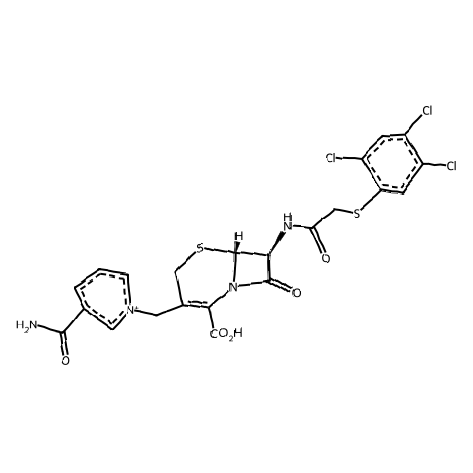 NC(=O)c1ccc[n+](CC2=C(C(=O)O)N3C(=O)[C@H](NC(=O)CSc4cc(Cl)c(Cl)cc4Cl)[C@H]3SC2)c1